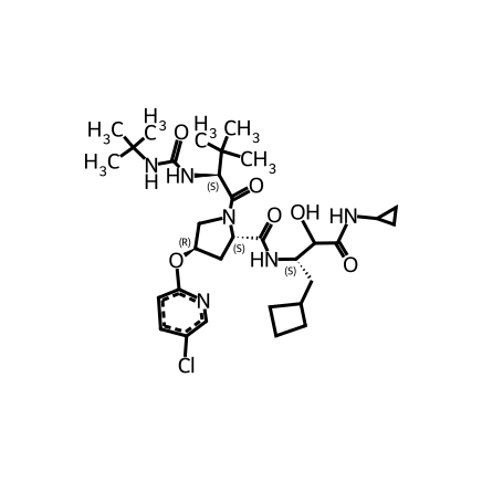 CC(C)(C)NC(=O)N[C@H](C(=O)N1C[C@H](Oc2ccc(Cl)cn2)C[C@H]1C(=O)N[C@@H](CC1CCC1)C(O)C(=O)NC1CC1)C(C)(C)C